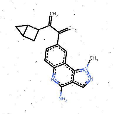 C=C(C(=C)C1CC2CC21)c1ccc2nc(N)c3cnn(C)c3c2c1